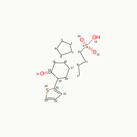 C1CCCC1.CCCCS(=O)(=O)O.O=C1CCCCC1c1cccs1